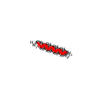 COC(=O)C(C)(C)CC(=O)C(CC(=O)C(C)(C)CC(=O)C(CC(=O)C(C)(C)CC(=O)C(CC(=O)C(C)(C)CC(=O)C(CC(=O)C(C)(C)CC(=O)C(CC(=O)C(C)(C)CC(=O)C(CC(=O)C(C)(C)CC(=O)C(CC(=O)C(C)(C)CC(=O)C(C)CC(C)C)CC(C)C)CC(C)C)CC(C)C)CC(C)C)CC(C)C)CC(C)C)CC(C)C